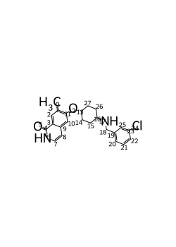 Cc1cc2c(=O)[nH]ccc2cc1O[C@H]1CC[C@H](NCc2cccc(Cl)c2)CC1